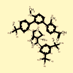 COc1ccc(-c2ccc(C(=O)O)cc2C)cc1-c1ccc(C(F)(F)F)cc1[C@@H]1OC[C@@H]2C1=NO[C@@H]2c1cc(C(F)(F)F)cc(C(F)(F)F)c1